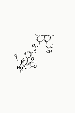 Cc1cc(CC(=O)O)c2c(CC(=O)Oc3ccc4c5c3O[C@H]3C(=O)CC[C@@]6(O)[C@@H](C4)N(CC4CC4)CC[C@]536)cc(C)cc2c1